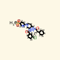 C[C@H](C(=O)NCC1CCN(c2ccc(S(C)(=O)=O)cn2)CC1NC(=O)c1cccc(Cl)c1)c1ccccc1